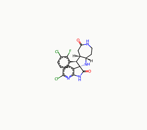 O=C1C[C@@H]2[C@H](CCN1)N[C@@]1(C(=O)Nc3nc(Cl)ccc31)[C@H]2c1cccc(Cl)c1F